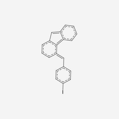 Ic1ccc(C=c2cccc3c2=c2ccccc2=C3)cc1